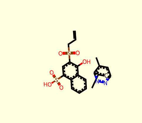 C=CCS(=O)(=O)c1cc(S(=O)(=O)O)c2ccccc2c1O.Cc1cc2cc(C)c1nn2